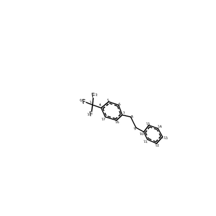 FC(F)(F)c1ccc(CCc2cc[c]cc2)cc1